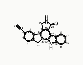 C#Cc1ccc2c(c1)-c1c3c(c4c([nH]c5ccccc54)c1C2)C(=O)NC3